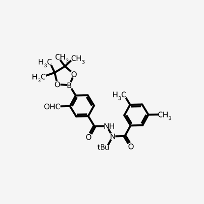 Cc1cc(C)cc(C(=O)N(NC(=O)c2ccc(B3OC(C)(C)C(C)(C)O3)c(C=O)c2)C(C)(C)C)c1